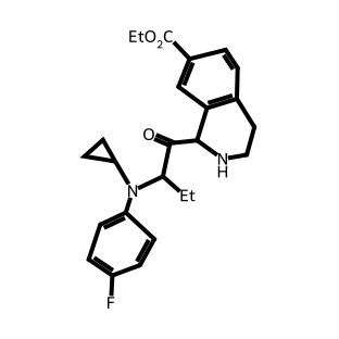 CCOC(=O)c1ccc2c(c1)C(C(=O)C(CC)N(c1ccc(F)cc1)C1CC1)NCC2